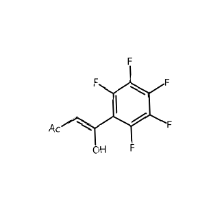 CC(=O)/C=C(\O)c1c(F)c(F)c(F)c(F)c1F